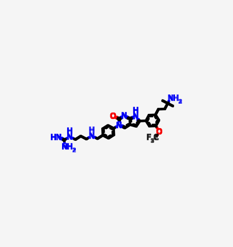 CC(C)(N)CCc1cc(OC(F)(F)F)cc(-c2cc3cn(-c4ccc(CNCCCNC(=N)N)cc4)c(=O)nc3[nH]2)c1